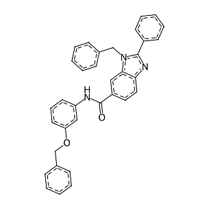 O=C(Nc1cccc(OCc2ccccc2)c1)c1ccc2nc(-c3ccccc3)n(Cc3ccccc3)c2c1